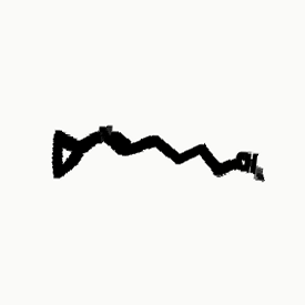 CCCCCC=NC1CC1